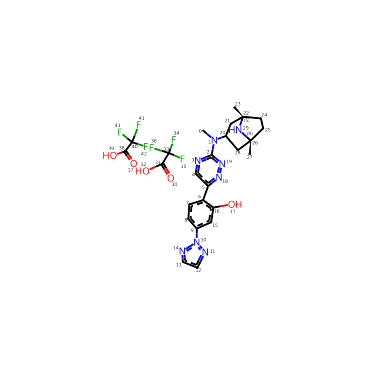 CN(c1ncc(-c2ccc(-n3nccn3)cc2O)nn1)C1C[C@]2(C)CC[C@](C)(C1)N2.O=C(O)C(F)(F)F.O=C(O)C(F)(F)F